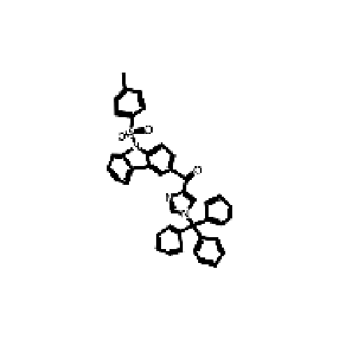 Cc1ccc(S(=O)(=O)n2c3ccccc3c3cc(C(=O)c4cn(C(c5ccccc5)(c5ccccc5)c5ccccc5)cn4)ccc32)cc1